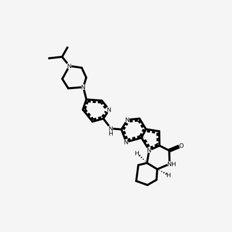 CC(C)N1CCN(c2ccc(Nc3ncc4cc5n(c4n3)[C@@H]3CCCC[C@@H]3NC5=O)nc2)CC1